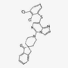 O=C1c2ccccc2CC12CCN(c1ncc(Sc3cccc(Cl)c3Cl)c3nccn13)CC2